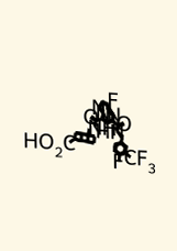 O=C(NCc1ccc(F)c(C(F)(F)F)c1)c1cc(C(=O)NCC23C4C5C2C2C3C4C52C(=O)O)n2ncc(F)c2n1